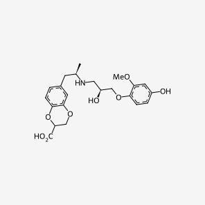 COc1cc(O)ccc1OC[C@@H](O)CN[C@H](C)Cc1ccc2c(c1)OCC(C(=O)O)O2